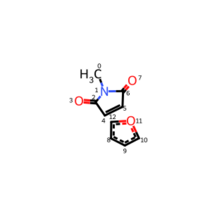 CN1C(=O)C=CC1=O.c1ccoc1